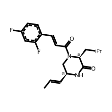 CC=C[C@H]1CN(C(=O)C=Cc2ccc(F)cc2F)[C@@H](CC(C)C)C(=O)N1